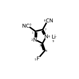 N#CC1=NC(=CF)N=C1C#N.[Li]